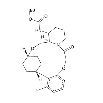 CC(C)(C)OC(=O)NC1CCCN2C(=O)COc3cccc(F)c3[C@H]3CC[C@H](CC3)OC[C@@H]12